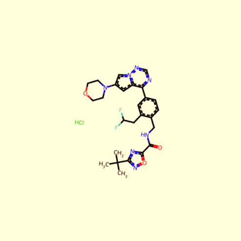 CC(C)(C)c1noc(C(=O)NCc2ccc(-c3ncnn4cc(N5CCOCC5)cc34)cc2CC(F)F)n1.Cl